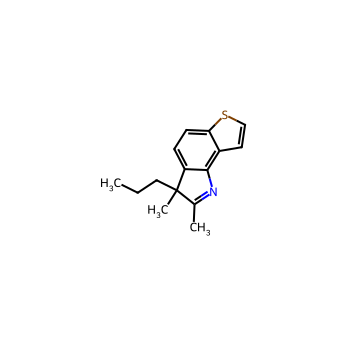 CCCC1(C)C(C)=Nc2c1ccc1sccc21